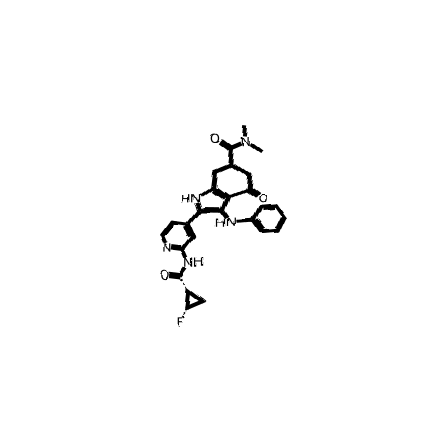 CN(C)C(=O)C1CC(=O)c2c([nH]c(-c3ccnc(NC(=O)[C@@H]4C[C@@H]4F)c3)c2Nc2ccccc2)C1